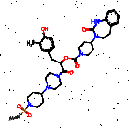 Bc1cc(C[C@@H](OC(=O)N2CCC(N3CCc4ccccc4NC3=O)CC2)C(=O)N2CCN(C3CCN(S(=O)(=O)NC)CC3)CC2)ccc1O